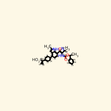 Cc1cc2c(-c3ccc(C4(C(=O)O)CC4)cc3)ccc(-c3onc(C)c3NC(=O)OC(C)c3ccccc3)c2[nH]1